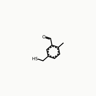 Cc1ccc(CS)cc1C=O